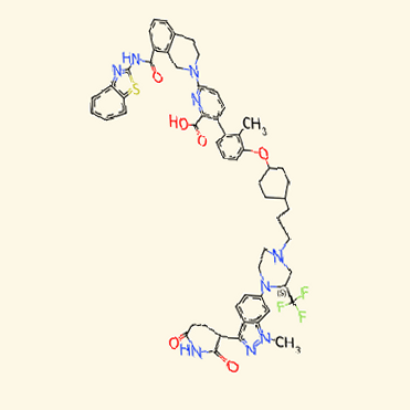 Cc1c(OC2CCC(CCCN3CCN(c4ccc5c(C6CCC(=O)NC6=O)nn(C)c5c4)[C@H](C(F)(F)F)C3)CC2)cccc1-c1ccc(N2CCc3cccc(C(=O)Nc4nc5ccccc5s4)c3C2)nc1C(=O)O